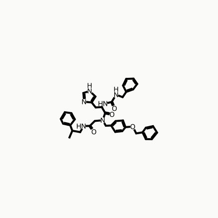 CC(CNC(=O)CN(Cc1ccc(OCc2ccccc2)cc1)C(=O)C(Cc1c[nH]cn1)NC(=O)NCc1ccccc1)c1ccccc1